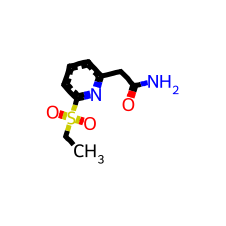 CCS(=O)(=O)c1cccc(CC(N)=O)n1